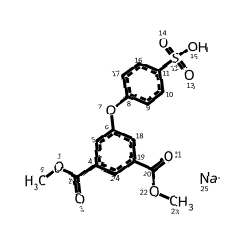 COC(=O)c1cc(Oc2ccc(S(=O)(=O)O)cc2)cc(C(=O)OC)c1.[Na]